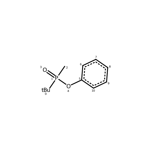 CC(C)(C)P(C)(=O)Oc1ccccc1